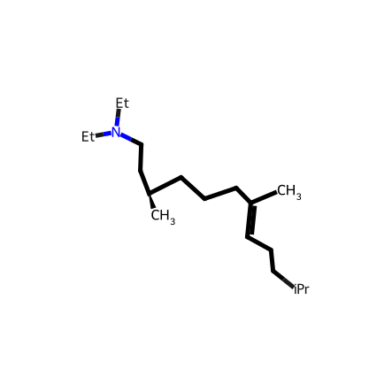 CCN(CC)CC[C@H](C)CCCC(C)=CCCC(C)C